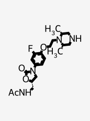 CC(=O)NC[C@H]1CN(c2ccc(OCCN3[C@H](C)CNC[C@@H]3C)c(F)c2)C(=O)O1